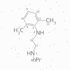 CCCNCCNc1c(C)cccc1C